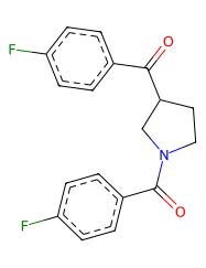 O=C(c1ccc(F)cc1)C1CCN(C(=O)c2ccc(F)cc2)C1